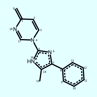 C=C1C=CN(c2nc(-c3ccccc3)c(C)[nH]2)C=N1